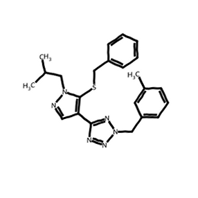 Cc1cccc(Cn2nnc(-c3cnn(CC(C)C)c3SCc3ccccc3)n2)c1